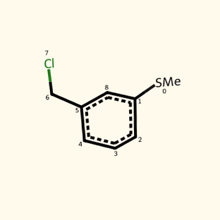 CSc1cccc(CCl)c1